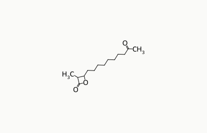 CC(=O)CCCCCCCCC1OC(=O)C1C